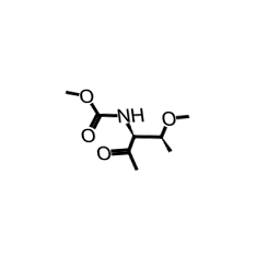 COC(=O)N[C@H](C(C)=O)[C@H](C)OC